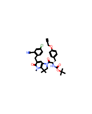 C#CCOc1ccc(C[C@H](NC(=O)OC(C)(C)C)C(=O)N2CC(C)(C)c3c2cc(Cc2ccc(Cl)cc2C#N)c(=O)n3C)cc1